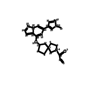 C=CC(=O)N1CC[C@]2(CC[C@@H](Oc3nc(-c4cnn(C)c4)cn4nccc34)C2)C1